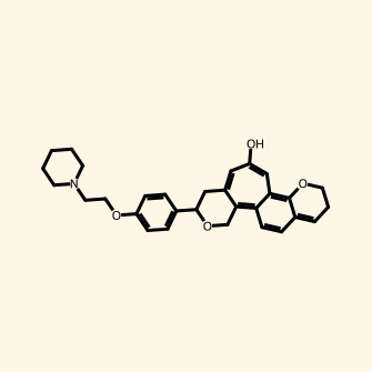 OC1=Cc2c3c(ccc2=C2COC(c4ccc(OCCN5CCCCC5)cc4)CC2=C1)=CCCO3